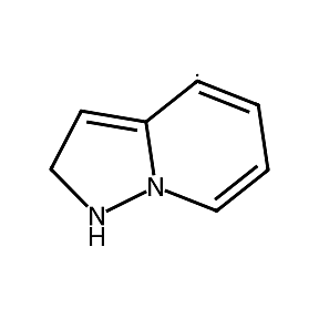 [C]1=CC=CN2NCC=C12